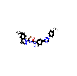 Cc1ccc(-n2cnc(-c3ccc(NC(=O)/N=C(\S)Nc4ccc(C)cc4C)cc3)n2)cc1